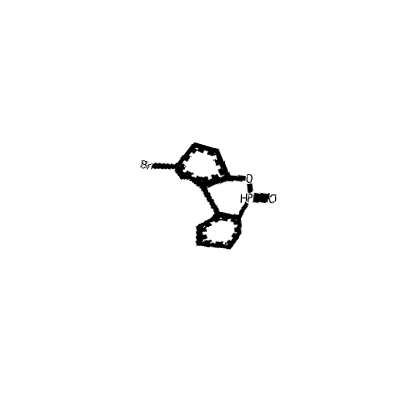 O=[PH]1Oc2ccc(Br)cc2-c2ccccc21